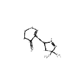 CC1(C)C=NC(C2=CCCCC2=O)C1